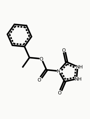 CC(OC(=O)n1c(=O)[nH][nH]c1=O)c1ccccc1